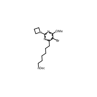 CCCCCCCCCCCCCCCCc1nc(N2CCC2)nc(OC)c1Br